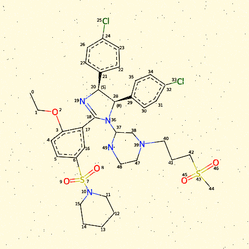 CCOc1ccc(S(=O)(=O)N2CCCCC2)cc1C1=N[C@@H](c2ccc(Cl)cc2)[C@@H](c2ccc(Cl)cc2)N1C1CN(CCCS(C)(=O)=O)CC[N]1